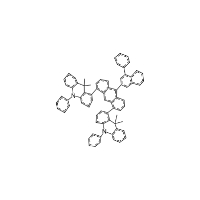 CC1(C)c2ccccc2N(c2ccccc2)c2cccc(-c3cccc4c(-c5cc(-c6ccccc6)c6ccccc6c5)c5cccc(-c6cccc7c6C(C)(C)c6ccccc6N7c6ccccc6)c5cc34)c21